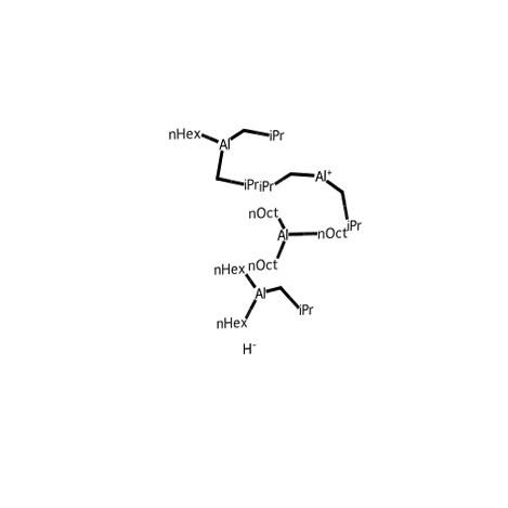 CC(C)[CH2][Al+][CH2]C(C)C.CCCCCCC[CH2][Al]([CH2]CCCCCCC)[CH2]CCCCCCC.CCCCC[CH2][Al]([CH2]C(C)C)[CH2]C(C)C.CCCCC[CH2][Al]([CH2]CCCCC)[CH2]C(C)C.[H-]